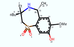 CCCC[C@]1(CC)CS(=O)(=O)c2cc(O)c(OC)cc2[C@@H](C)N1